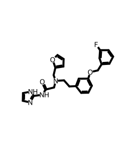 O=C(CN(CCc1cccc(OCc2cccc(F)c2)c1)Cc1ccco1)Nc1ncc[nH]1